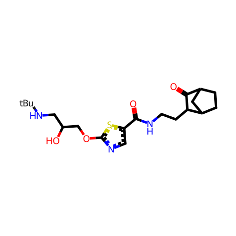 CC(C)(C)NCC(O)COc1ncc(C(=O)NCCC2C(=O)C3CCC2C3)s1